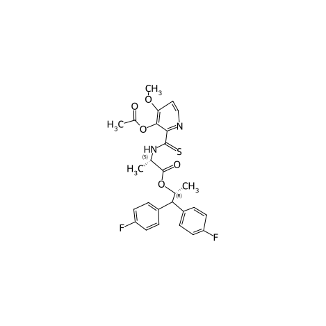 COc1ccnc(C(=S)N[C@@H](C)C(=O)O[C@H](C)C(c2ccc(F)cc2)c2ccc(F)cc2)c1OC(C)=O